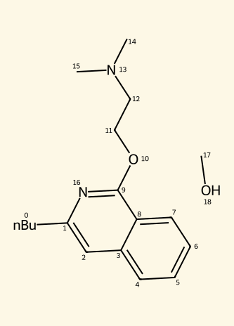 CCCCc1cc2ccccc2c(OCCN(C)C)n1.CO